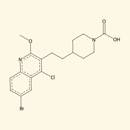 COc1nc2ccc(Br)cc2c(Cl)c1CCC1CCN(C(=O)O)CC1